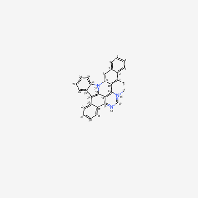 Cc1c2ccccc2cc2c1c1c3c(nc[n+]1C)c1ccccc1c1c4ccccc4n2c13